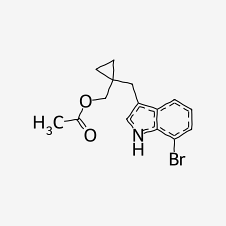 CC(=O)OCC1(Cc2c[nH]c3c(Br)cccc23)CC1